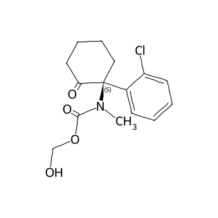 CN(C(=O)OCO)[C@]1(c2ccccc2Cl)CCCCC1=O